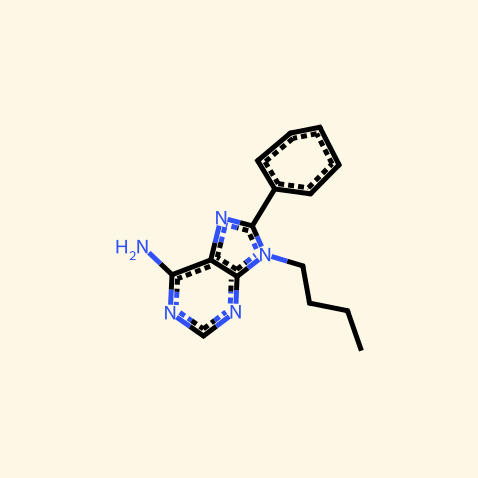 CCCCn1c(-c2ccccc2)nc2c(N)ncnc21